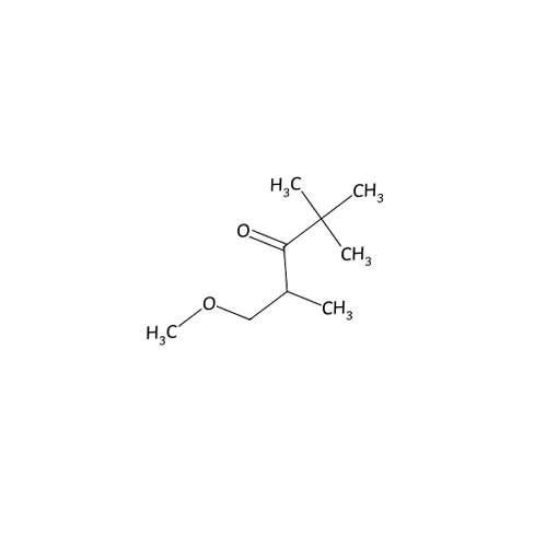 COCC(C)C(=O)C(C)(C)C